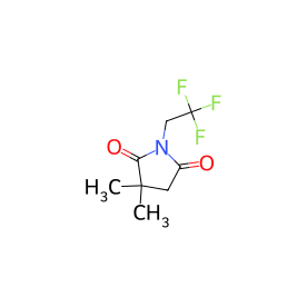 CC1(C)CC(=O)N(CC(F)(F)F)C1=O